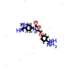 N=C(N)c1ccc(OCC2CN(c3ccc(C(=N)N)cc3)C(=O)O2)cc1